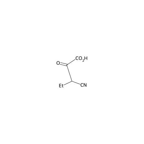 CCC(C#N)C(=O)C(=O)O